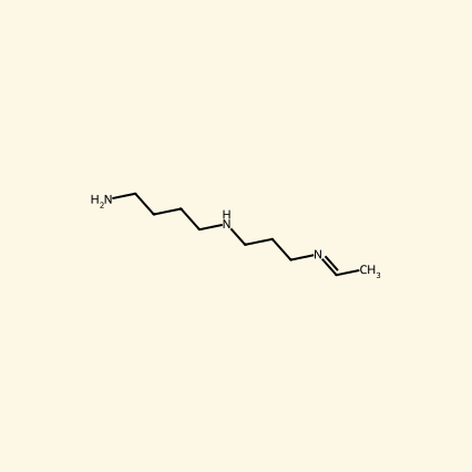 C/C=N/CCCNCCCCN